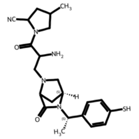 CC1CC(C#N)N(C(=O)C(N)CN2C[C@@H]3CC2C(=O)N3[C@@H](C)c2ccc(S)cc2)C1